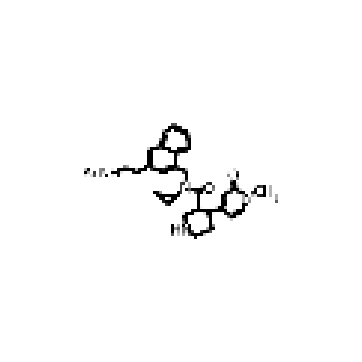 CC(=O)NCCc1cc(CN(C(=O)C2CNCCC2c2ccn(C)c(=O)c2)C2CC2)c2ccccc2c1